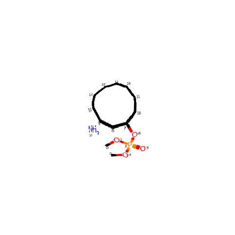 COP(=O)(OC)OC1CCCCCCCCC1.N